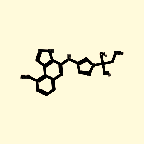 COCC(C)(C)n1cc(Nc2nc3cccc(OC)c3c3cn[nH]c23)cn1